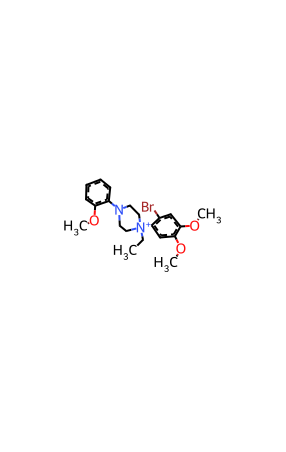 CC[N+]1(c2cc(OC)c(OC)cc2Br)CCN(c2ccccc2OC)CC1